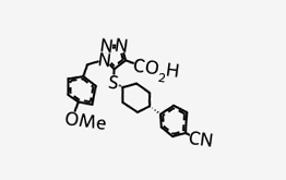 COc1ccc(Cn2nnc(C(=O)O)c2S[C@H]2CC[C@@H](c3ccc(C#N)cc3)CC2)cc1